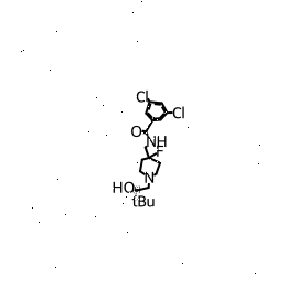 CC(C)(C)[C@H](O)CN1CCC(F)(CNC(=O)c2cc(Cl)cc(Cl)c2)CC1